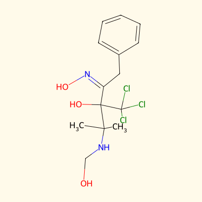 CC(C)(NCO)C(O)(C(Cc1ccccc1)=NO)C(Cl)(Cl)Cl